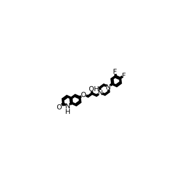 O=c1ccc2cc(OCC(O)CN3CCN(c4ccc(F)c(F)c4)CC3)ccc2[nH]1